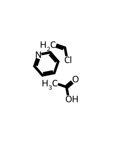 C=CCl.CC(=O)O.c1ccncc1